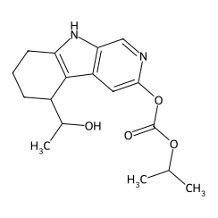 CC(C)OC(=O)Oc1cc2c3c([nH]c2cn1)CCCC3C(C)O